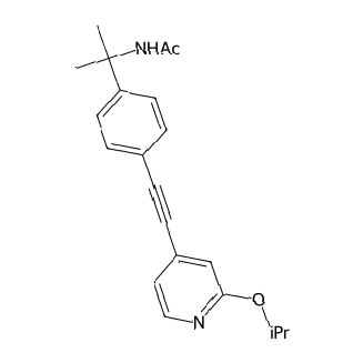 CC(=O)NC(C)(C)c1ccc(C#Cc2ccnc(OC(C)C)c2)cc1